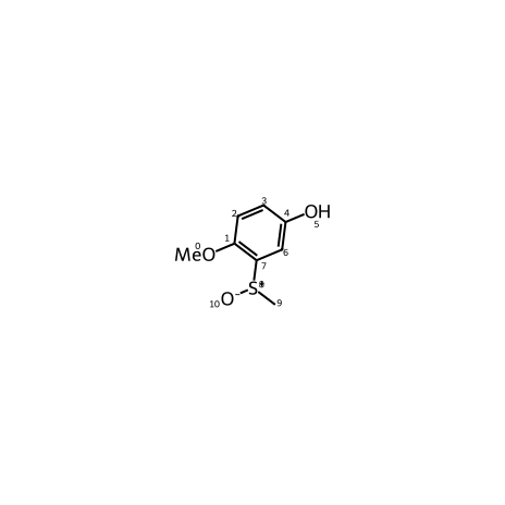 COc1ccc(O)cc1[S+](C)[O-]